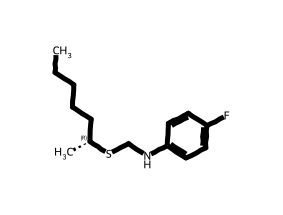 CCCCC[C@@H](C)SCNc1ccc(F)cc1